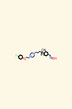 CC(C)C(C#N)(CCCN1CCN(CCOc2ccc(F)cc2)CC1)c1ccc(C=NO)cc1